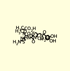 CC(C)(O/N=C(\C(=O)NC1C(=O)N2C(C(=O)O)=C(CNC(=O)c3ccc(O)c(O)c3)CS[C@@H]12)c1csc(N)n1)C(=O)O